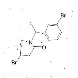 CC(c1cccc(Br)c1)n1ccc(Br)cc1=O